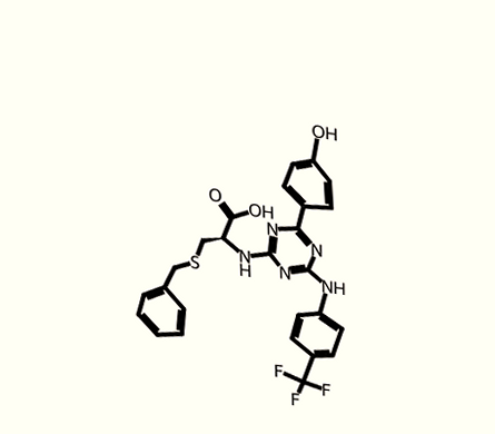 O=C(O)[C@H](CSCc1ccccc1)Nc1nc(Nc2ccc(C(F)(F)F)cc2)nc(-c2ccc(O)cc2)n1